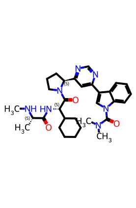 CN[C@@H](C)C(=O)N[C@H](C(=O)N1CCC[C@H]1c1cc(-c2cn(C(=O)N(C)C)c3ccccc23)ncn1)C1CCCCC1